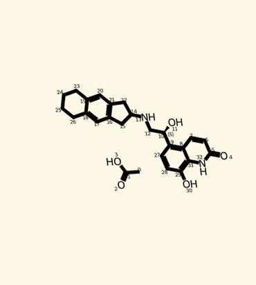 CC(=O)O.O=c1ccc2c([C@H](O)CNC3Cc4cc5c(cc4C3)CCCC5)ccc(O)c2[nH]1